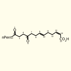 CCCCCC(=O)CCC(=O)CCC=CCC/C=C\C(=O)O